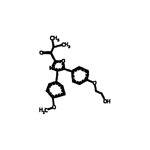 COc1ccc(-c2nc(C(=O)C(C)C)oc2-c2ccc(OCCO)cc2)cc1